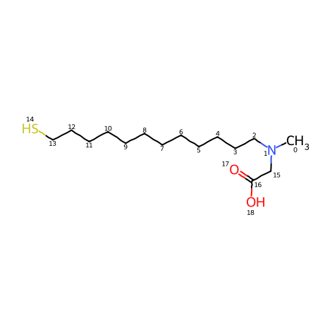 CN(CCCCCCCCCCCCS)CC(=O)O